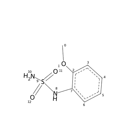 COc1ccccc1NS(N)(=O)=O